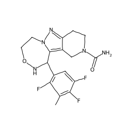 Cc1c(F)c(F)cc(C2NOCCn3nc4c(c32)CN(C(N)=O)CC4)c1F